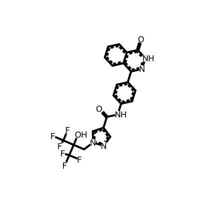 O=C(Nc1ccc(-c2n[nH]c(=O)c3ccccc23)cc1)c1cnn(CC(O)(C(F)(F)F)C(F)(F)F)c1